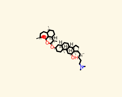 C[C@H]1[C@@H](O[C@@H]2CC[C@@]3(C)[C@H](CC[C@@H]4[C@@H]3C[C@H](O)[C@]3(C)[C@@H]([C@H](C)CCCN(C)C)CC[C@@H]43)C2)OC2O[C@@]3(C)CCC4[C@H](C)CC[C@@H]1[C@@]24OO3